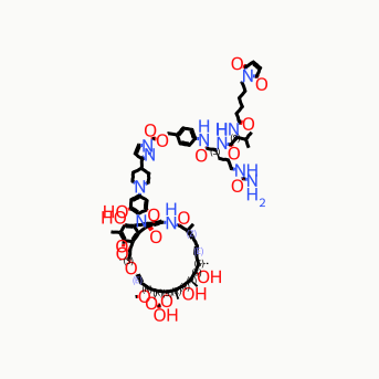 CO[C@H]1/C=C/O[C@@]2(C)Oc3c(C)c(O)c4c(=O)c(c5oc6cc(N7CCC(c8ccn(C(=O)OCc9ccc(NC(=O)[C@H](CCCNC(N)=O)NC(=O)[C@@H](NC(=O)CCCCCN%10C(=O)C=CC%10=O)C(C)C)cc9)n8)CC7)cc(O)c6nc-5c4c3C2=O)NC(=O)/C(C)=C\C=C\[C@H](C)[C@H](O)[C@@H](C)[C@@H](O)[C@@H](C)[C@H](OC(=O)O)[C@@H]1C